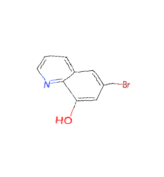 Oc1cc(Br)cc2cccnc12